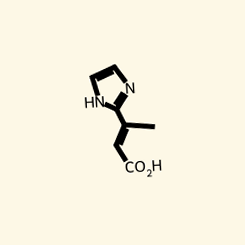 C/C(=C\C(=O)O)c1ncc[nH]1